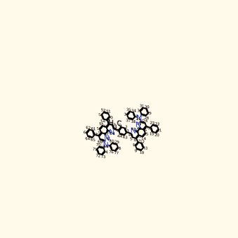 Cc1cc(-c2cc(-c3ccccc3)c3ccc4c(-c5ccccc5)cc(N(c5ccccc5)c5ccccc5)nc4c3n2)ccc1-c1cc(-c2ccccc2)c2ccc3c(-c4ccccc4)cc(N(c4ccccc4)c4ccccc4)nc3c2n1